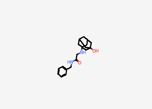 O=C(CNC12CC3CC(CC(O)(C3)C1)C2)NCc1ccccc1